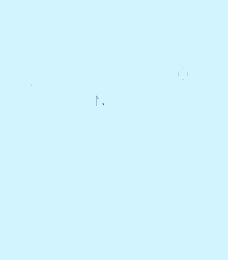 CN1C(=O)CCc2cccc([O])c21